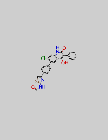 CC(=O)Nc1nc(-c2ccc(-c3cc4c(O)c(-c5ccccc5)c(=O)[nH]c4cc3Cl)cc2)cs1